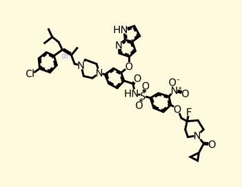 C/C(CN1CCN(c2ccc(C(=O)NS(=O)(=O)c3ccc(OCC4(F)CCN(C(=O)C5CC5)CC4)c([N+](=O)[O-])c3)c(Oc3cnc4[nH]ccc4c3)c2)CC1)=C(\CC(C)C)c1ccc(Cl)cc1